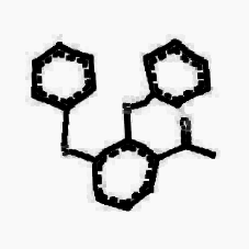 CC(=O)c1cccc(Sc2ccccc2)c1Sc1ccccc1